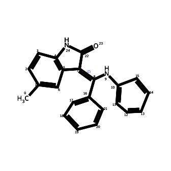 Cc1ccc2c(c1)/C(=C(/Nc1ccccc1)c1ccccc1)C(=O)N2